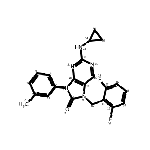 Cc1cccc(-n2c(=O)n(Cc3c(F)cccc3F)c3cnc(NC4CC4)nc32)c1